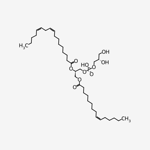 CCCC/C=C\C/C=C\CCCCCCCC(=O)O[C@H](COC(=O)CCCCCCC/C=C\CCCCC)COP(=O)(O)OC[C@@H](O)CO